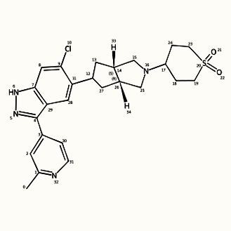 Cc1cc(-c2n[nH]c3cc(Cl)c(C4C[C@@H]5CN(C6CCS(=O)(=O)CC6)C[C@@H]5C4)cc23)ccn1